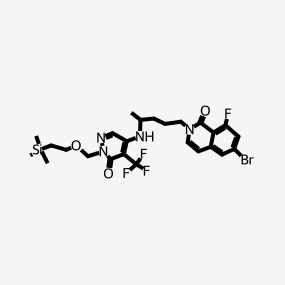 CC(CCCn1ccc2cc(Br)cc(F)c2c1=O)Nc1cnn(COCC[Si](C)(C)C)c(=O)c1C(F)(F)F